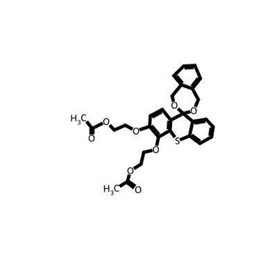 CC(=O)OCCOc1ccc2c(c1OCCOC(C)=O)Sc1ccccc1C21OCc2ccccc2CO1